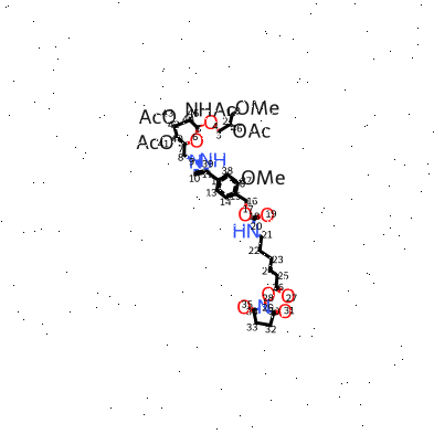 COCC(CO[C@H]1OC(Cn2cc(-c3ccc(COC(=O)NCCCCCC(=O)ON4C(=O)CCC4=O)c(OC)c3)[nH]2)[C@H](OC(C)=O)C(OC(C)=O)C1NC(C)=O)OC(C)=O